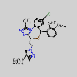 CCOC(=O)c1cnn(CC[C@H]2S[C@H](c3cccc(OC)c3OC)c3cc(Cl)ccc3-n3c2nnc3C(F)(F)F)c1